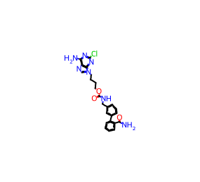 NC(=O)c1ccccc1-c1cccc(CNC(=O)OCCCCn2cnc3c(N)nc(Cl)nc32)c1